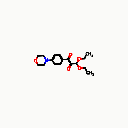 CCOC(OCC)C(=O)C(=O)c1ccc(N2CCOCC2)cc1